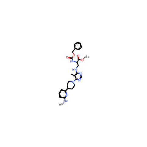 CCCNc1cccc(C2CCN(c3ncnc(NCC(NC(=O)OCc4ccccc4)C(=O)OC(C)(C)C)c3C)CC2)n1